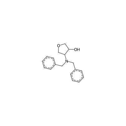 OC1COCC1N(Cc1ccccc1)Cc1ccccc1